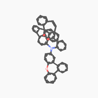 C1=Cc2ccccc2C2(c3ccccc31)c1ccccc1-c1ccc(N(c3ccc4c(c3)-c3ccccc3-c3ccccc3O4)c3ccccc3-c3ccccc3)cc12